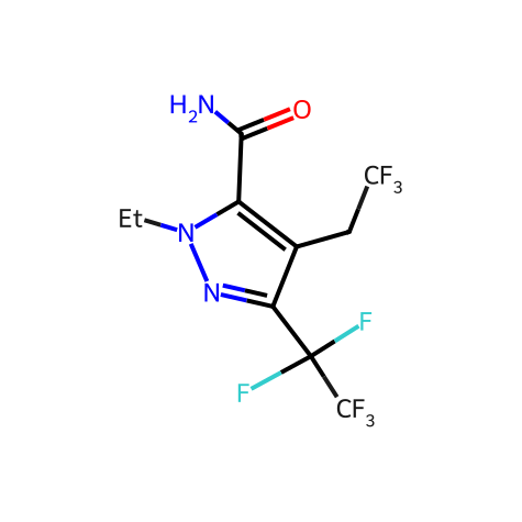 CCn1nc(C(F)(F)C(F)(F)F)c(CC(F)(F)F)c1C(N)=O